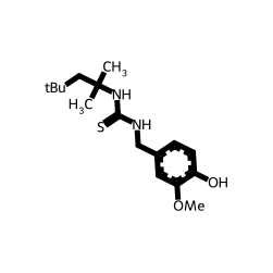 COc1cc(CNC(=S)NC(C)(C)CC(C)(C)C)ccc1O